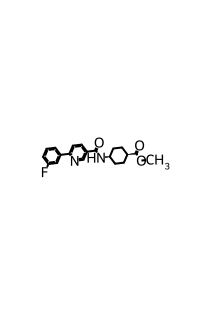 COC(=O)[C@H]1CC[C@@H](NC(=O)c2ccc(-c3cccc(F)c3)nc2)CC1